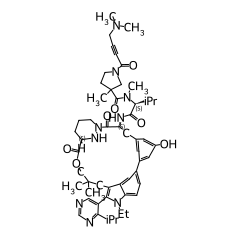 CCn1c(-c2cncnc2C(C)C)c2c3cc(ccc31)-c1cc(O)cc(c1)C[C@H](NC(=O)[C@H](C(C)C)N(C)C(=O)C1(C)CCN(C(=O)C#CCN(C)C)C1)C(=O)N1CCC[C@H](N1)C(=O)OCC(C)(C)C2